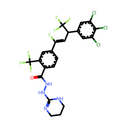 O=C(NNC1=NCCCN1)c1ccc(C(F)=CC(c2cc(Cl)c(Cl)c(Cl)c2)C(F)(F)F)cc1C(F)(F)F